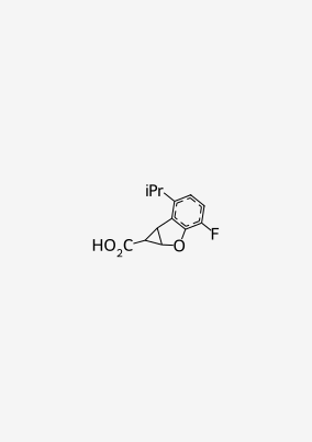 CC(C)c1ccc(F)c2c1C1C(O2)C1C(=O)O